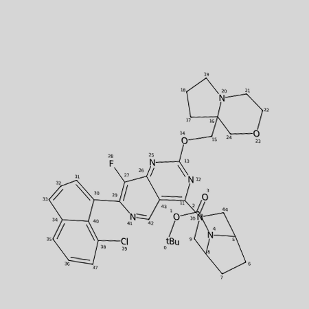 CC(C)(C)OC(=O)N1C2CCC1CN(c1nc(OCC34CCCN3CCOC4)nc3c(F)c(-c4cccc5cccc(Cl)c45)ncc13)C2